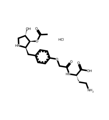 CC(=O)O[C@@H]1[C@@H](O)CN[C@@H]1Cc1ccc(OCC(=O)N[C@@H](CCN)C(=O)O)cc1.Cl